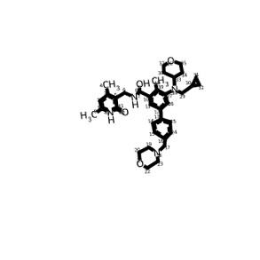 Cc1cc(C)c(CNC(O)c2cc(-c3ccc(CN4CCOCC4)cc3)cc(N(CC3CC3)C3CCOCC3)c2C)c(=O)[nH]1